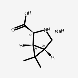 CC1(C)[C@@H]2[C@@H](C(=O)O)NC[C@@H]21.[NaH]